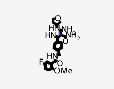 COc1ccc(F)cc1C(=O)NCc1ccc(C(=N)/C(C(N)=O)=C(/N)NC2CCOC2)cc1